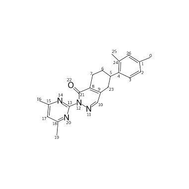 Cc1ccc(C2CCc3c(cnn(-c4nc(C)cc(C)n4)c3=O)C2)c(C)c1